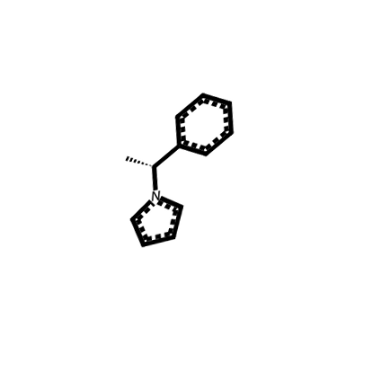 C[C@H](c1ccccc1)n1cccc1